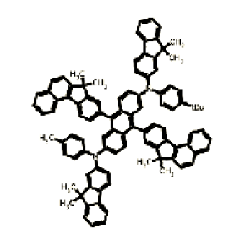 Cc1ccc(N(c2ccc3c(c2)C(C)(C)c2ccccc2-3)c2ccc3c(-c4ccc5c(c4)C(C)(C)c4ccc6ccccc6c4-5)c4cc(N(c5ccc(C(C)(C)C)cc5)c5ccc6c(c5)C(C)(C)c5ccccc5-6)ccc4c(-c4ccc5c(c4)C(C)(C)c4ccc6ccccc6c4-5)c3c2)cc1